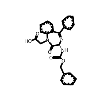 O=C(O)CN1C(=O)[C@@H](NC(=O)OCc2ccccc2)N=C(c2ccccc2)c2ccccc21